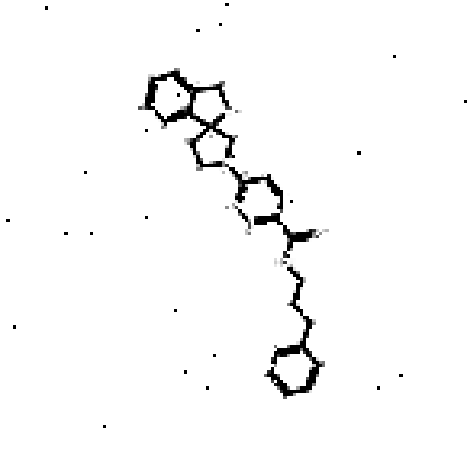 O=C(NCCCc1ccccc1)c1ccc(N2CCC3(C2)OCc2ccccc23)nn1